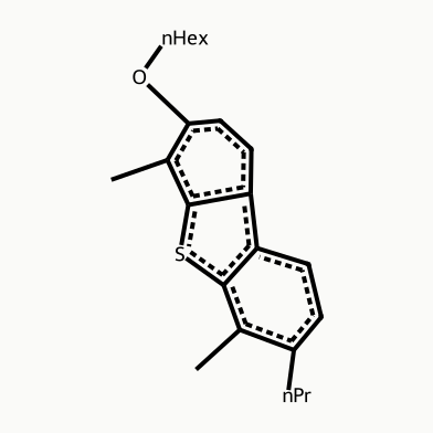 CCCCCCOc1ccc2c(sc3c(C)c(CCC)ccc32)c1C